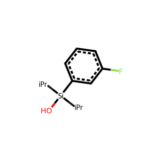 CC(C)[Si](O)(c1cccc(F)c1)C(C)C